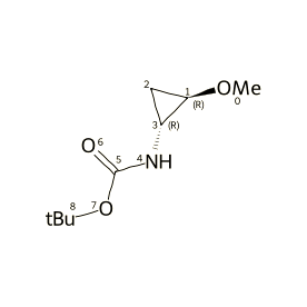 CO[C@@H]1C[C@H]1NC(=O)OC(C)(C)C